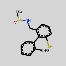 CC(C)(C)[S+]([O-])NCc1cccc(S)c1-c1ccccc1C=O